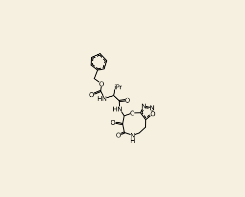 CC(C)C(NC(=O)OCc1ccccc1)C(=O)NC1Cc2nnoc2CCNC(=O)C1=O